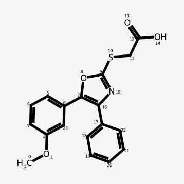 COc1cccc(-c2oc(SCC(=O)O)nc2-c2ccccc2)c1